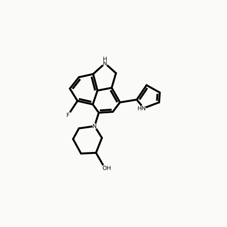 OC1CCCN(c2cc(-c3ccc[nH]3)c3c4c(ccc(F)c24)NC3)C1